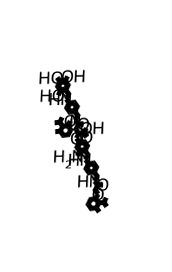 CC(C)C1C(C)CCCC1OCC(=O)NCc1ccc(NCc2ccc(OC(CC(=O)N(Cc3ccc(NCc4cc(O)c(O)cc4O)cc3)OC3CCCC(C)C3C(C)C)C(=O)O)cc2N)cc1